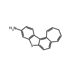 Nc1ccc2c(c1)sc1ccc3c(c12)C=CCC=C3